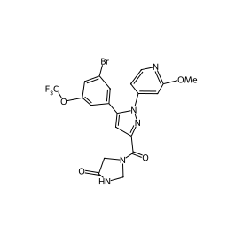 COc1cc(-n2nc(C(=O)N3CNC(=O)C3)cc2-c2cc(Br)cc(OC(F)(F)F)c2)ccn1